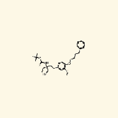 CC[C@](CO)(CCc1ccc(OCCCCc2ccccc2)c(OC)c1)NC(=O)OC(C)(C)C